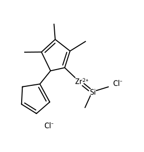 CC1=C(C)C(C2=CC=CC2)[C]([Zr+2]=[Si](C)C)=C1C.[Cl-].[Cl-]